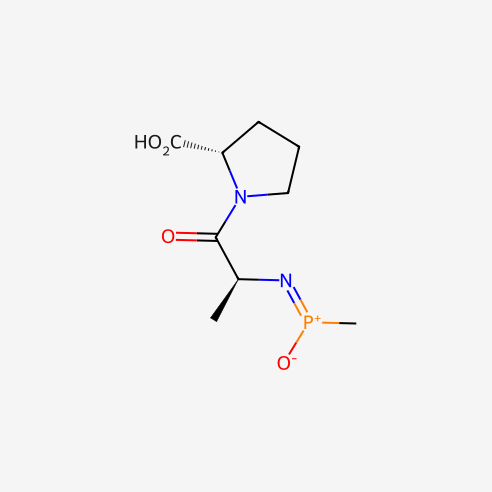 C[C@H](/N=[P+](/C)[O-])C(=O)N1CCC[C@H]1C(=O)O